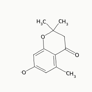 Cc1cc([O])cc2c1C(=O)CC(C)(C)O2